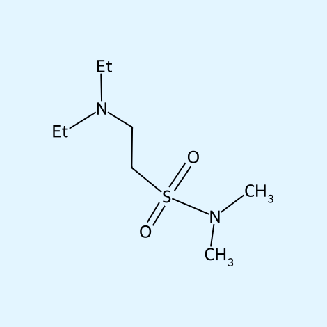 CCN(CC)CCS(=O)(=O)N(C)C